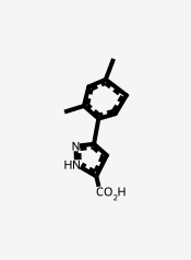 Cc1ccc(-c2cc(C(=O)O)[nH]n2)c(C)c1